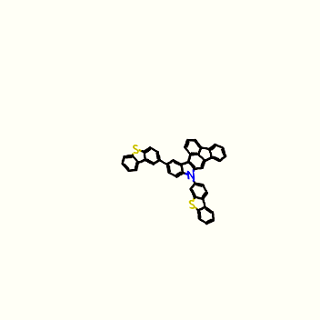 c1ccc2c(c1)-c1cccc3c1c-2cc1c3c2cc(-c3ccc4sc5ccccc5c4c3)ccc2n1-c1ccc2c(c1)sc1ccccc12